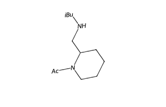 CCC(C)NCC1CCCCN1C(C)=O